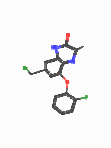 Cc1nc2c(Oc3ccccc3F)cc(CBr)cc2[nH]c1=O